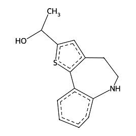 CC(O)c1cc2c(s1)-c1ccccc1NCC2